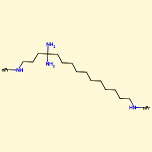 CCCNCCCCCCCCCCCC(N)(N)CCCNCCC